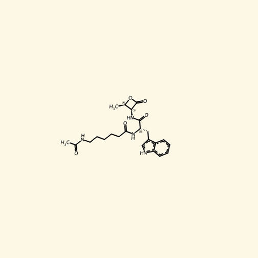 CC(=O)NCCCCCC(=O)N[C@@H](Cc1c[nH]c2ccccc12)C(=O)N[C@@H]1C(=O)O[C@@H]1C